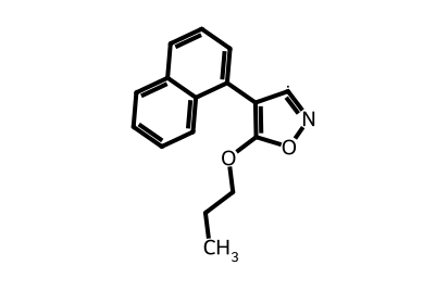 CCCOc1on[c]c1-c1cccc2ccccc12